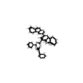 c1ccc(-c2nc(-c3ccccc3)nc(-c3cc(-c4cnc5ccc6ccccc6c5c4)cc4c3sc3ccccc34)n2)cc1